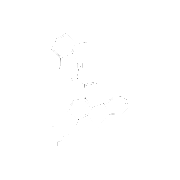 O=C(Nc1c(Cl)cncc1Cl)C(=O)c1ccc(OC(F)F)c2oc3ccccc3c12